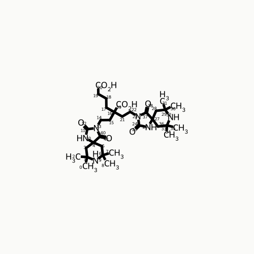 CC1(C)CC2(CC(C)(C)N1)NC(=O)N(CCC(CCCC(=O)O)(CCN1C(=O)NC3(CC(C)(C)NC(C)(C)C3)C1=O)C(=O)O)C2=O